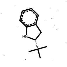 CC(C)(C)[C@H]1Cc2ccccc2N1